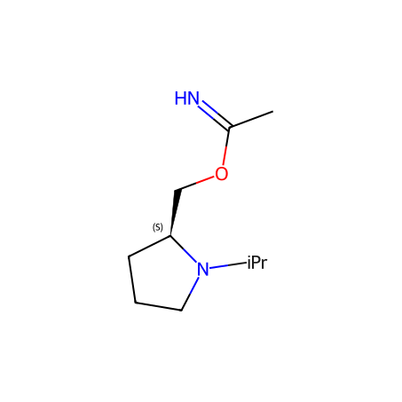 CC(=N)OC[C@@H]1CCCN1C(C)C